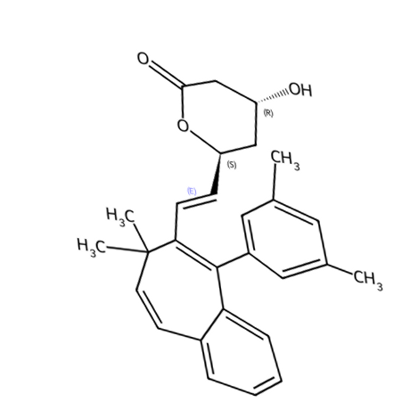 Cc1cc(C)cc(C2=C(/C=C/[C@@H]3C[C@@H](O)CC(=O)O3)C(C)(C)C=Cc3ccccc32)c1